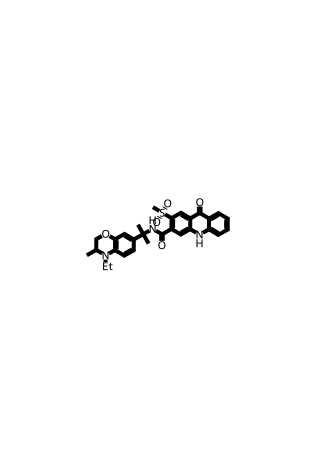 CCN1c2ccc(C(C)(C)NC(=O)c3cc4[nH]c5ccccc5c(=O)c4cc3S(C)(=O)=O)cc2OCC1C